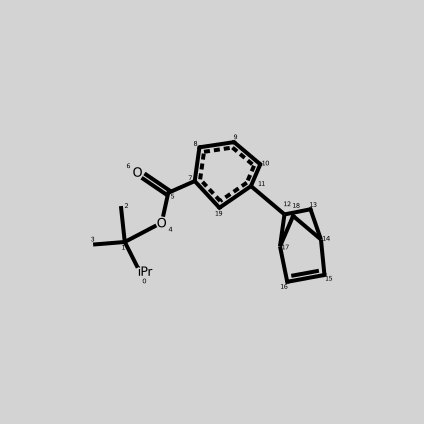 CC(C)C(C)(C)OC(=O)c1cccc(C2CC3C=CC2C3)c1